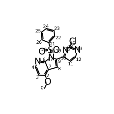 COc1ccnc2c1cc(-c1ccnc(Cl)n1)n2S(=O)(=O)c1ccccc1